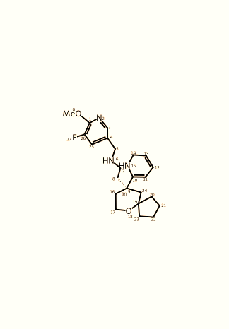 COc1ncc(CNCC[C@@]2(C3=CC=CCN3)CCOC3(CCCC3)C2)cc1F